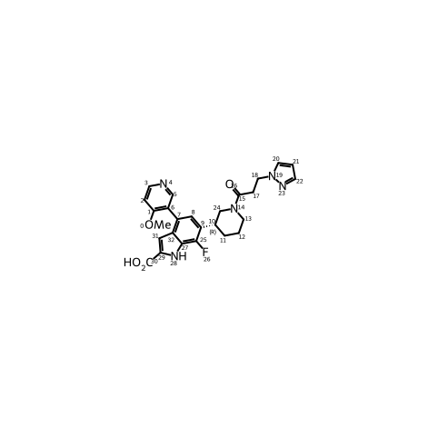 COc1ccncc1-c1cc([C@H]2CCCN(C(=O)CCn3cccn3)C2)c(F)c2[nH]c(C(=O)O)cc12